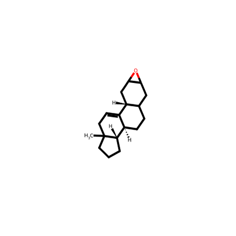 CC12CC=C3[C@@H](CCC4CC5OC5C[C@@H]34)[C@@H]1CCC2